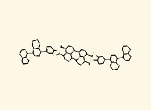 O=c1c2ccc3c4ccc5c6c(ccc(c7ccc(c2c37)c2nc3cc(-c7ccc(-c8cccc9ccccc89)c8ccccc78)ccc3n12)c46)c(=O)n1c2ccc(-c3ccc(-c4cccc6ccccc46)c4ccccc34)cc2nc51